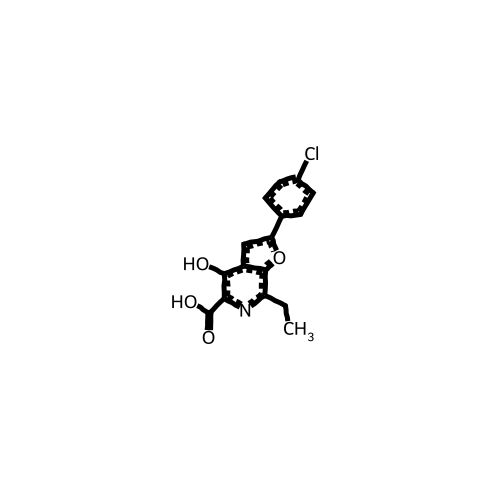 CCc1nc(C(=O)O)c(O)c2cc(-c3ccc(Cl)cc3)oc12